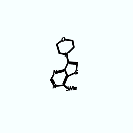 CSc1ncnc2c(N3CCOCC3)csc12